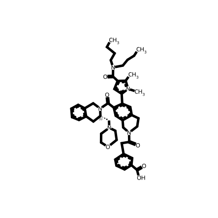 CCCCN(CCCC)C(=O)c1cc(-c2cc3c(cc2C(=O)N2Cc4ccccc4C[C@H]2CN2CCOCC2)CN(C(=O)Cc2cccc(C(=O)O)c2)CC3)n(C)c1C